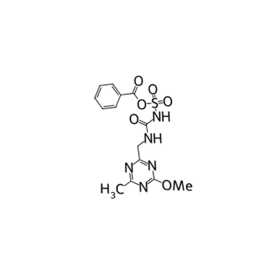 COc1nc(C)nc(CNC(=O)NS(=O)(=O)OC(=O)c2ccccc2)n1